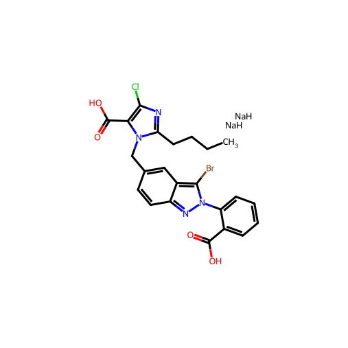 CCCCc1nc(Cl)c(C(=O)O)n1Cc1ccc2nn(-c3ccccc3C(=O)O)c(Br)c2c1.[NaH].[NaH]